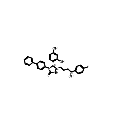 Oc1ccc([C@@H]2[C@@H](CCC[C@@H](O)c3ccc(F)cc3)NC(=S)N2c2ccc(-c3ccccc3)cc2)c(O)c1